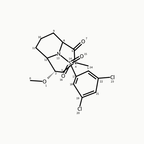 CO[C@H]1CN(C)C(=O)C2CCCC1N2S(=O)(=O)c1cc(Cl)cc(Cl)c1